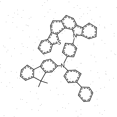 CC1(C)c2ccccc2-c2ccc(N(c3ccc(-c4ccccc4)cc3)c3ccc(-n4c5ccccc5c5ccc6ccc7c8ccccc8sc7c6c54)cc3)cc21